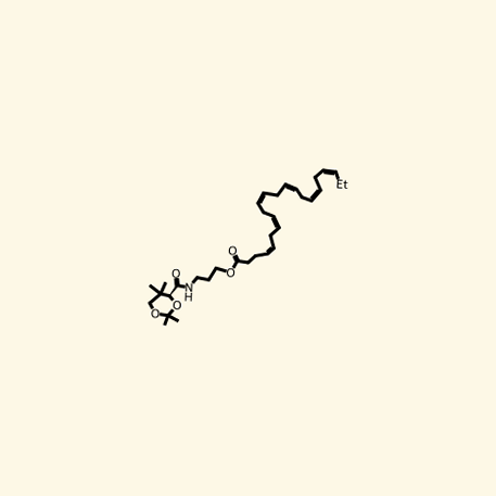 CC/C=C\C/C=C\C/C=C\C/C=C\C/C=C\C/C=C\CCC(=O)OCCCNC(=O)[C@H]1OC(C)(C)OCC1(C)C